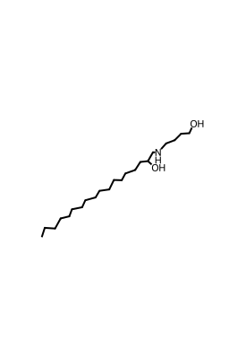 CCCCCCCCCCCCCCCCC(O)CNCCCCO